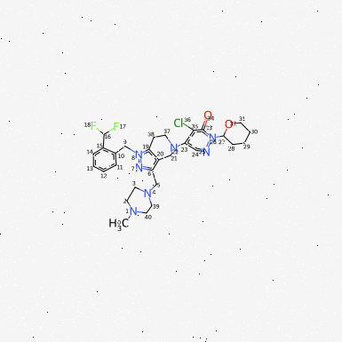 CN1CCN(Cc2nn(Cc3ccccc3C(F)F)c3c2CN(c2cnn(C4CCCCO4)c(=O)c2Cl)CC3)CC1